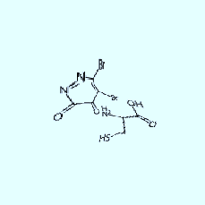 NC(CS)C(=O)O.O=C1N=NC(Br)=C(Br)C1=O